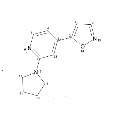 c1cc(-c2ccnc(N3CCCC3)c2)on1